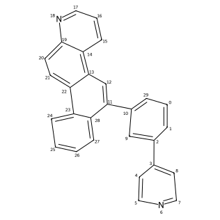 c1cc(-c2ccncc2)cc(-c2cc3c4cccnc4ccc3c3ccccc23)c1